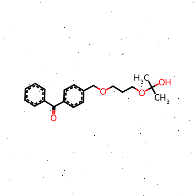 CC(C)(O)OCCCOCc1ccc(C(=O)c2ccccc2)cc1